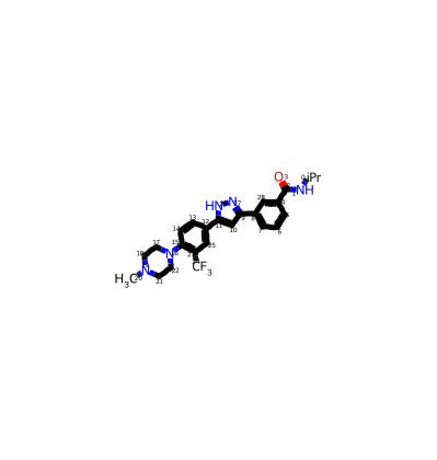 CC(C)NC(=O)c1cccc(-c2cc(-c3ccc(N4CCN(C)CC4)c(C(F)(F)F)c3)[nH]n2)c1